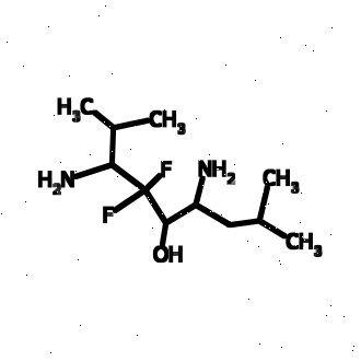 CC(C)CC(N)C(O)C(F)(F)C(N)C(C)C